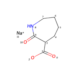 O=C([O-])C1CCCCNC1=O.[Na+]